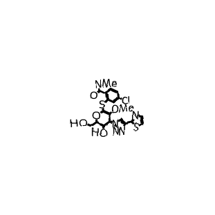 CNC(=O)c1ccc(Cl)cc1SC1OC(CO)C(O)C(n2cc(-c3nccs3)nn2)C1OC